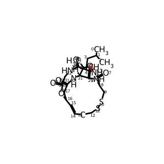 CC(C)CC1NC(=O)C2CSSCC/C=C/C(CC(=O)N[C@H](C(C)C)C(=O)N2)OC(=O)CNC1=O